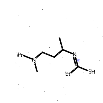 CC/C(S)=N\C(C)CCN(C)C(C)C